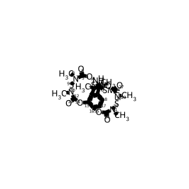 CSC1(C)NOC(=O)N(C)SN(C)C(=O)Oc2c3ccc1c2C(C)(SC)NOC(=O)N(C)SN(C)C(=O)O3